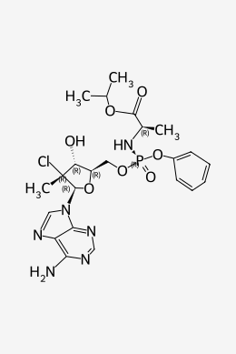 CC(C)OC(=O)[C@@H](C)N[P@@](=O)(OC[C@H]1O[C@@H](n2cnc3c(N)ncnc32)[C@](C)(Cl)[C@@H]1O)Oc1ccccc1